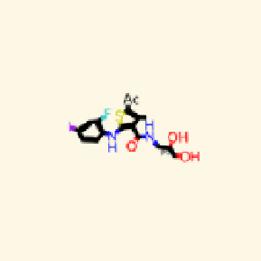 CC(=O)c1sc(Nc2ccc(I)cc2F)c(C(=O)NC[C@@H](O)CO)c1C